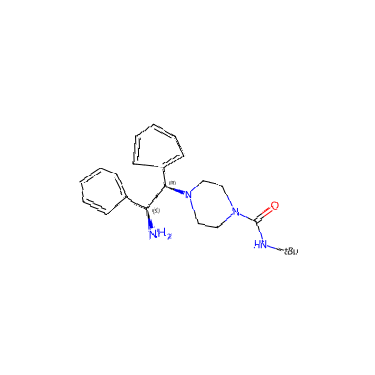 CC(C)(C)NC(=O)N1CCN([C@H](c2ccccc2)[C@@H](N)c2ccccc2)CC1